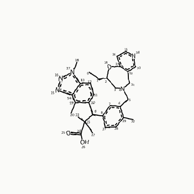 CC[C@@H]1CN(Cc2cc(C(c3ccc4c(nnn4C)c3C)C(C)(C)C(=O)O)ccc2C)Cc2cnccc2O1